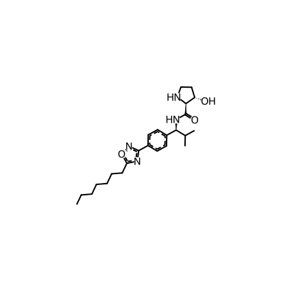 CCCCCCCc1nc(-c2ccc([C@@H](NC(=O)[C@H]3NCC[C@@H]3O)C(C)C)cc2)no1